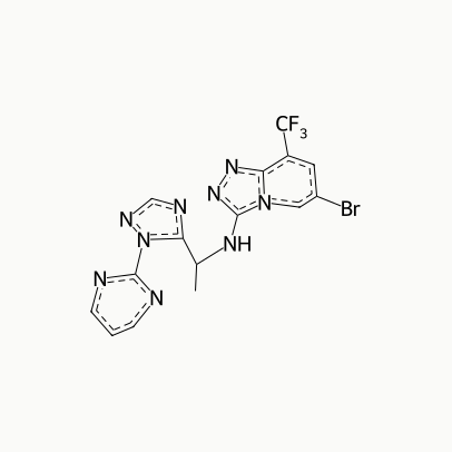 CC(Nc1nnc2c(C(F)(F)F)cc(Br)cn12)c1ncnn1-c1ncccn1